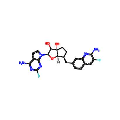 Nc1nc2cc(C[C@@H]3CC[C@]4(O)C(O)[C@H](n5ccc6c(N)nc(F)nc65)O[C@H]34)ccc2cc1F